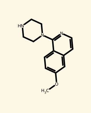 COc1ccc2c(N3CCNCC3)nccc2c1